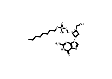 CCCCCCCCOP(=O)(O)OC[C@@H]1[C@@H](CO)C[C@H]1n1cnc2c(=O)[nH]c(N)nc21